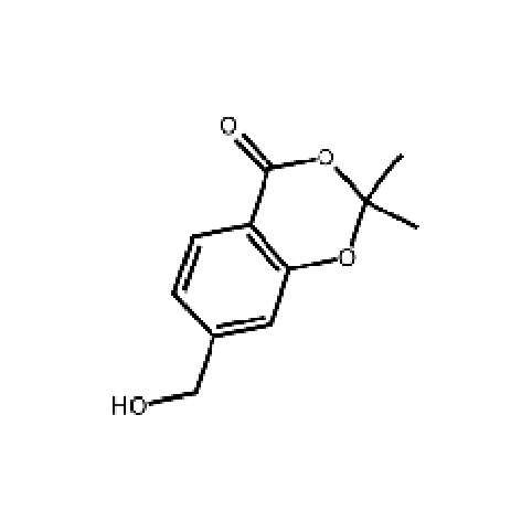 CC1(C)OC(=O)c2ccc(CO)cc2O1